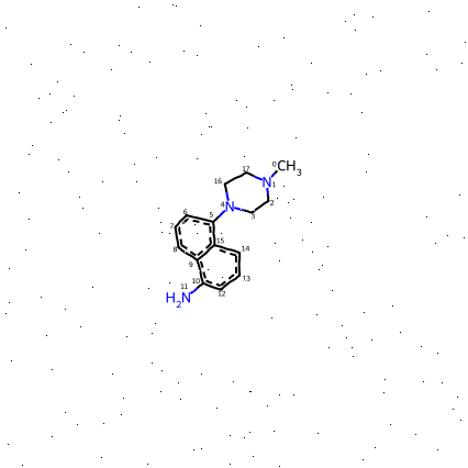 CN1CCN(c2cccc3c(N)cccc23)CC1